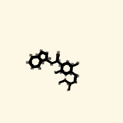 CCN(C)/C=N\c1cc(C)c(C(=O)Cn2ccc3ccccc32)cc1C